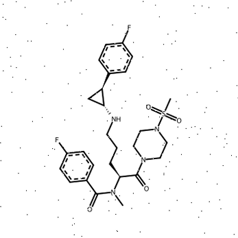 CN(C(=O)c1ccc(F)cc1)[C@@H](CCCN[C@@H]1C[C@H]1c1ccc(F)cc1)C(=O)N1CCN(S(C)(=O)=O)CC1